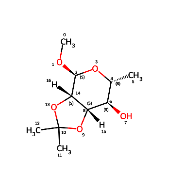 CO[C@H]1O[C@H](C)[C@@H](O)[C@@H]2OC(C)(C)O[C@H]12